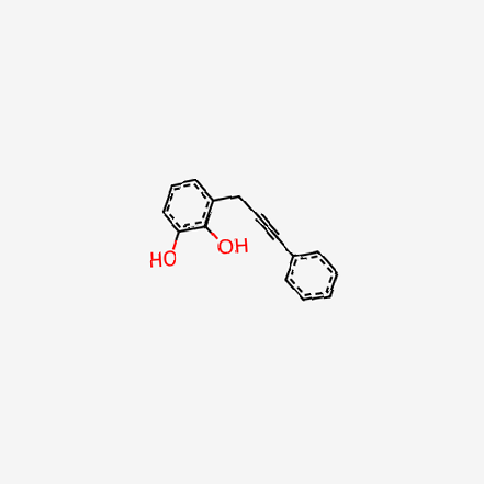 Oc1cccc(CC#Cc2ccccc2)c1O